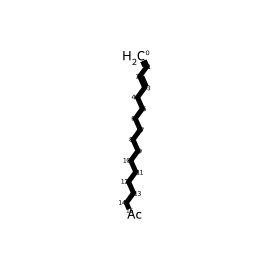 C=CC=CCCCCCCCCCCCC(C)=O